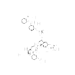 CNS(=O)(=O)Cc1ccc2[nH]cc(CCN(C)C)c2c1.COc1ccc2c3c1O[C@H]1[C@@H](O)C=C[C@H]4[C@@H](C2)N(C)CC[C@@]341.Cc1cccc(Nc2ccccc2C(=O)O)c1C